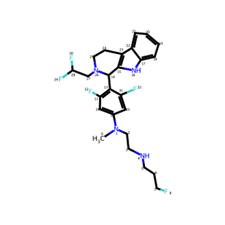 CN(CCNCCCF)c1cc(F)c(C2c3[nH]c4ccccc4c3CCN2CC(F)F)c(F)c1